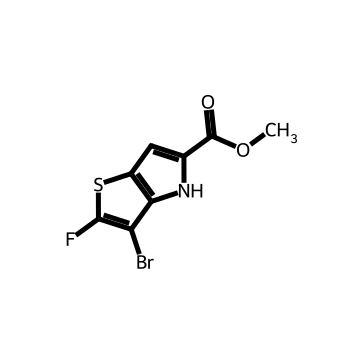 COC(=O)c1cc2sc(F)c(Br)c2[nH]1